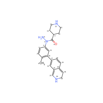 Cc1ccc(N(N)C(=O)C2CCNCC2)cc1-c1ccc2c(c1)=CNCC=2